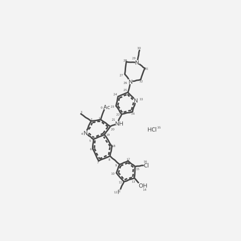 CC(=O)c1c(C)nc2ccc(-c3cc(F)c(O)c(Cl)c3)cc2c1Nc1ccc(N2CCN(C)CC2)nc1.Cl